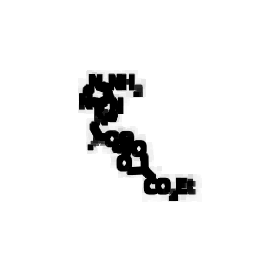 CCOC(=O)CC1COP(=O)(CO[C@H](C)Cn2cnc3c(N)ncnc32)OC1